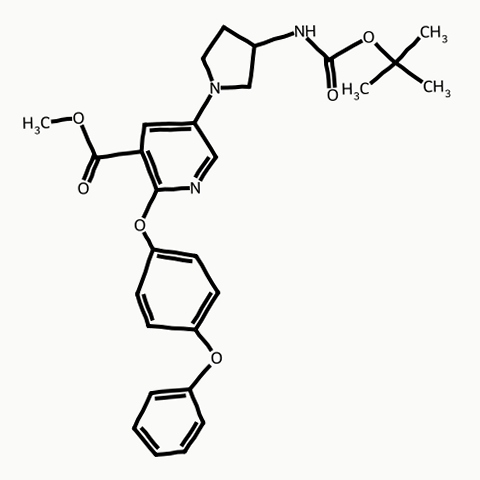 COC(=O)c1cc(N2CCC(NC(=O)OC(C)(C)C)C2)cnc1Oc1ccc(Oc2ccccc2)cc1